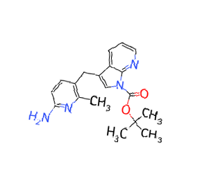 Cc1nc(N)ccc1Cc1cn(C(=O)OC(C)(C)C)c2ncccc12